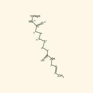 C/C=C/CNC(=O)CCSSCCC(=O)NCCCCCCC